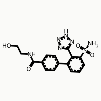 NS(=O)(=O)c1cccc(-c2ccc(C(=O)NCCO)cc2)c1-c1nn[nH]n1